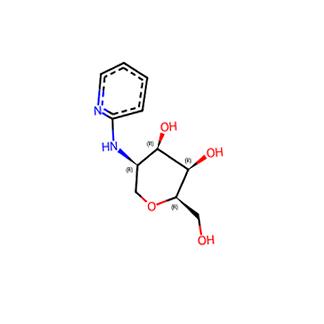 OC[C@H]1OC[C@@H](Nc2ccccn2)[C@@H](O)[C@H]1O